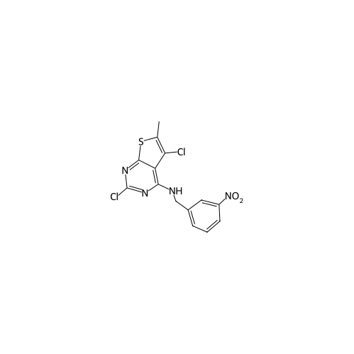 Cc1sc2nc(Cl)nc(NCc3cccc([N+](=O)[O-])c3)c2c1Cl